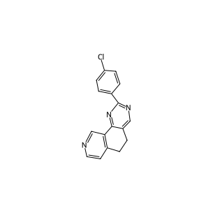 Clc1ccc(-c2ncc3c(n2)-c2cnccc2CC3)cc1